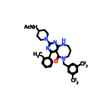 CC(=O)NC1CCN(c2nc3c(c(-c4ccccc4C)n2)C(=O)N(Cc2cc(C(F)(F)F)cc(C(F)(F)F)c2)CCCN3)CC1